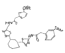 COc1cccc(CC(=O)Nc2nnc(C3CCCCC(c4nnc(NC(=O)Cc5cccc(OC)c5)s4)C3)s2)c1